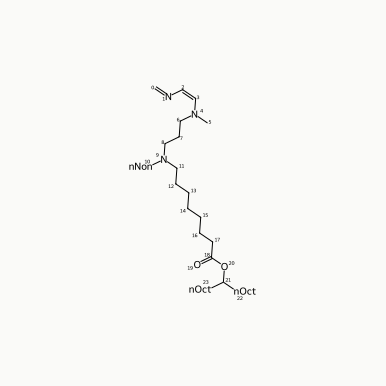 C=N/C=C\N(C)CCCN(CCCCCCCCC)CCCCCCCC(=O)OC(CCCCCCCC)CCCCCCCC